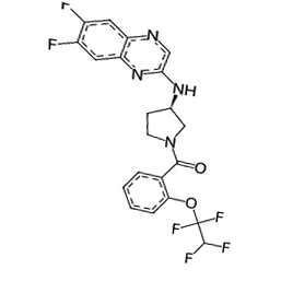 O=C(c1ccccc1OC(F)(F)C(F)F)N1CC[C@@H](Nc2cnc3cc(F)c(F)cc3n2)C1